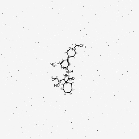 CCN1CCN(c2cc(C)nc(NNC(=O)C3(CN(O)C=O)CCCCCC3)n2)CC1